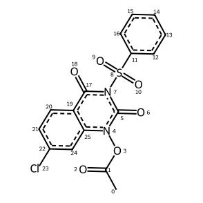 CC(=O)On1c(=O)n(S(=O)(=O)c2ccccc2)c(=O)c2ccc(Cl)cc21